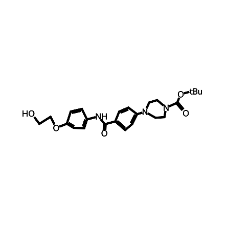 CC(C)(C)OC(=O)N1CCN(c2ccc(C(=O)Nc3ccc(OCCO)cc3)cc2)CC1